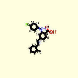 Cc1ccccc1/C=C/c1ccc(C(=O)O)c(Nc2ccc(F)cc2)c1